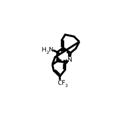 Nc1c2c3nc4c1=CCCC(C4)CC2C=C(C(F)(F)F)C=3